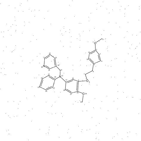 COc1ccc(CCOc2cc(N(Cc3cccnc3)c3ccccc3)ccc2OC)cc1